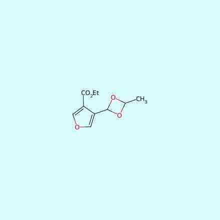 CCOC(=O)c1cocc1C1OC(C)O1